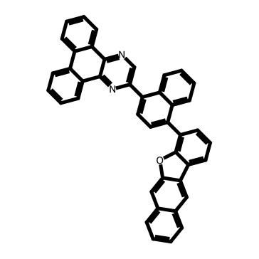 c1ccc2cc3c(cc2c1)oc1c(-c2ccc(-c4cnc5c6ccccc6c6ccccc6c5n4)c4ccccc24)cccc13